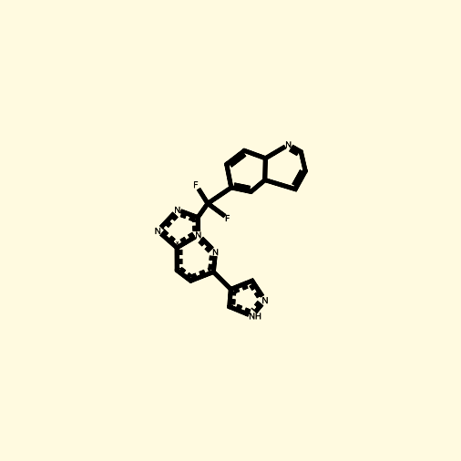 FC(F)(C1=CC2C=CC=NC2C=C1)c1nnc2ccc(-c3cn[nH]c3)nn12